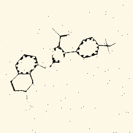 O[C@H]1CCc2cccc(Nc3nc(C(F)F)c(-c4ccc(C(F)(F)F)cc4)o3)c2C1